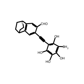 Bc1c(O)c(O)c(O)c(C#Cc2cc3c(cc2C=O)C2CCCC3CC2)c1O